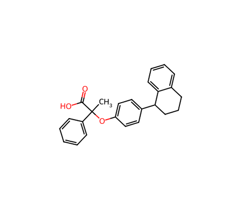 CC(Oc1ccc(C2CCCc3ccccc32)cc1)(C(=O)O)c1ccccc1